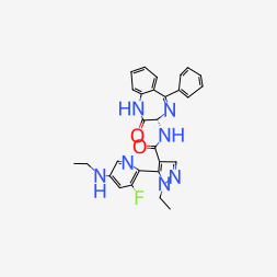 CCNc1cnc(-c2c(C(=O)N[C@H]3N=C(c4ccccc4)c4ccccc4NC3=O)cnn2CC)c(F)c1